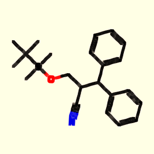 CC(C)(C)[Si](C)(C)OCC(C#N)C(c1ccccc1)c1ccccc1